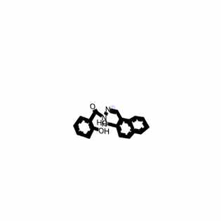 O=C(N/N=C\c1c(O)ccc2ccccc12)c1ccccc1O